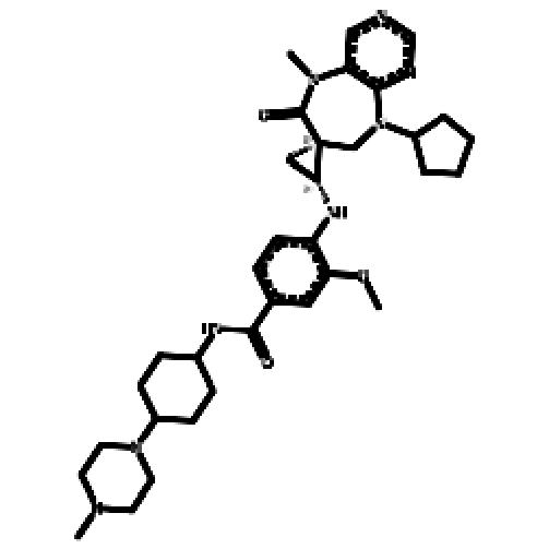 COc1cc(C(=O)NC2CCC(N3CCN(C)CC3)CC2)ccc1N[C@@H]1C[C@]12CN(C1CCCC1)c1ncncc1N(C)C2=O